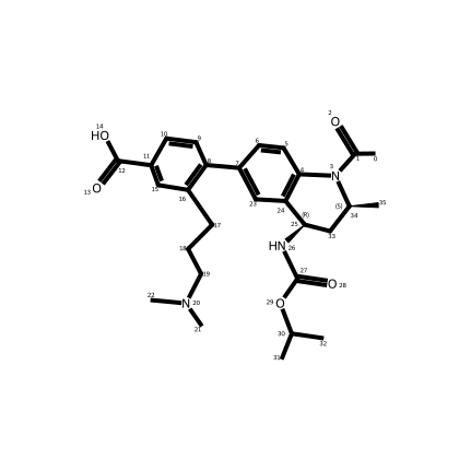 CC(=O)N1c2ccc(-c3ccc(C(=O)O)cc3CCCN(C)C)cc2[C@H](NC(=O)OC(C)C)C[C@@H]1C